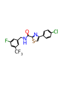 O=C(NCc1cc(F)cc(C(F)(F)F)c1)c1nc(-c2ccc(Cl)cc2)cs1